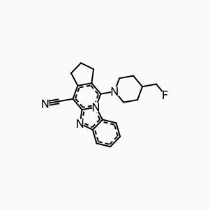 N#Cc1c2c(c(N3CCC(CF)CC3)n3c1nc1ccccc13)CCC2